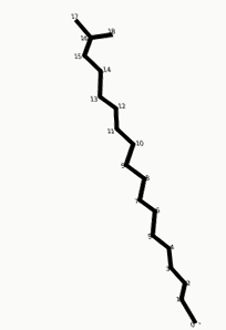 [CH2]CCCCCCCCCCCCCCCC(C)C